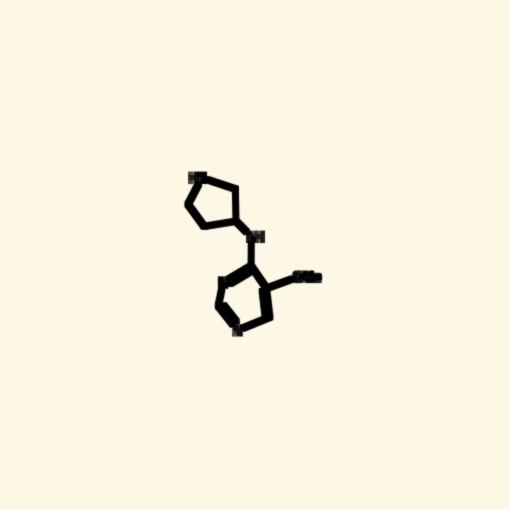 COc1cncnc1NC1CCNC1